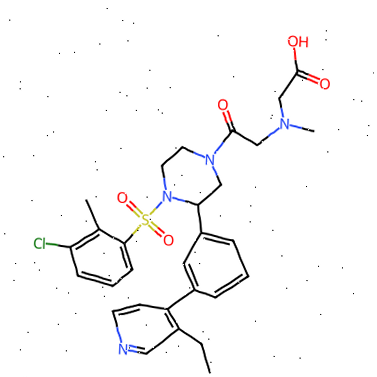 CCc1cnccc1-c1cccc(C2CN(C(=O)CN(C)CC(=O)O)CCN2S(=O)(=O)c2cccc(Cl)c2C)c1